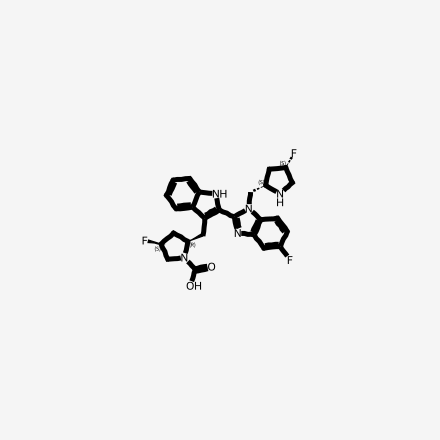 O=C(O)N1C[C@@H](F)C[C@H]1Cc1c(-c2nc3cc(F)ccc3n2C[C@@H]2C[C@H](F)CN2)[nH]c2ccccc12